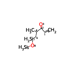 C=CC(=O)C(C)C[SiH2]O[SiH3]